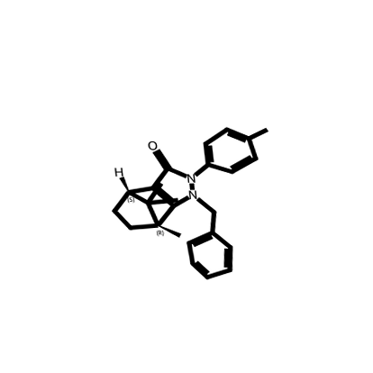 Cc1ccc(-n2c(=O)c3c(n2Cc2ccccc2)[C@]2(C)CC[C@H]3C2(C)C)cc1